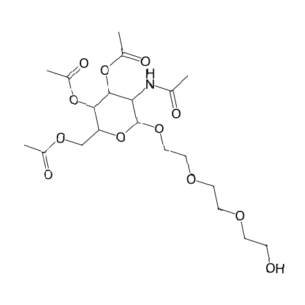 CC(=O)NC1C(OCCOCCOCCO)OC(COC(C)=O)C(OC(C)=O)C1OC(C)=O